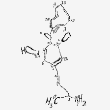 CC(N)C#Cc1ccc(Oc2ccccc2)c(Cl)c1.Cl